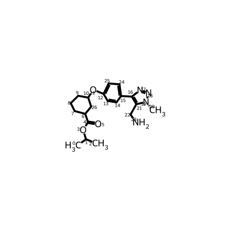 CC(C)OC(=O)C1CCCC(Oc2ccc(-c3nnn(C)c3CN)cc2)C1